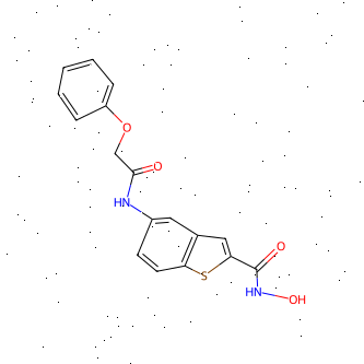 O=C(COc1ccccc1)Nc1ccc2sc(C(=O)NO)cc2c1